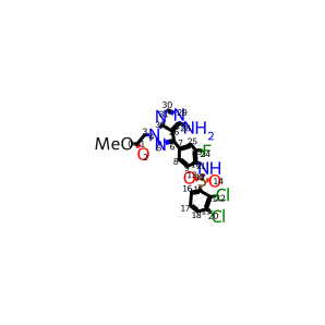 COC(=O)Cn1nc(-c2ccc(NS(=O)(=O)c3cccc(Cl)c3Cl)c(F)c2)c2c(N)ncnc21